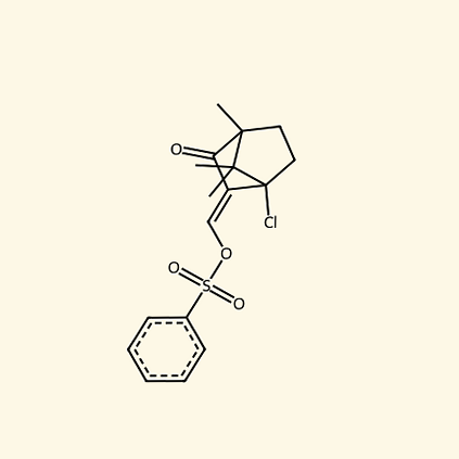 CC12CCC(Cl)(C(=COS(=O)(=O)c3ccccc3)C1=O)C2(C)C